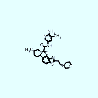 Cc1cc(NC(=O)C(=O)N2C[C@@H](C)CC[C@@H]2c2ccc3sc(CCN4CCOCC4)nc3c2)cnc1N